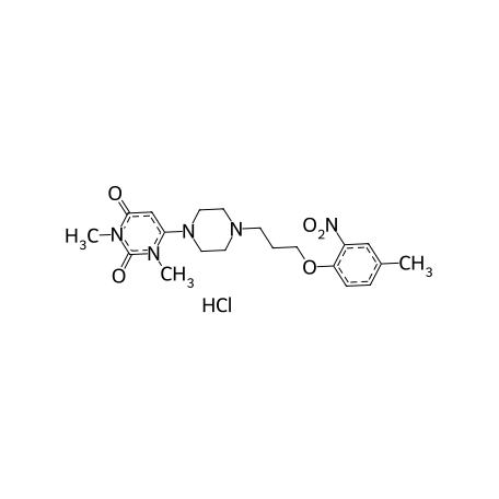 Cc1ccc(OCCCN2CCN(c3cc(=O)n(C)c(=O)n3C)CC2)c([N+](=O)[O-])c1.Cl